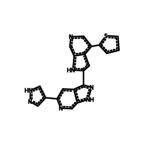 c1csc(-c2cncc3[nH]c(-c4n[nH]c5cnc(-c6cn[nH]c6)cc45)cc23)c1